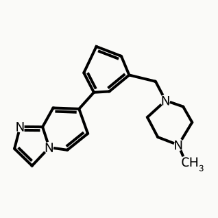 CN1CCN(Cc2cccc(-c3ccn4ccnc4c3)c2)CC1